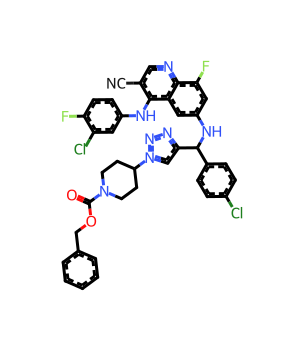 N#Cc1cnc2c(F)cc(NC(c3ccc(Cl)cc3)c3cn(C4CCN(C(=O)OCc5ccccc5)CC4)nn3)cc2c1Nc1ccc(F)c(Cl)c1